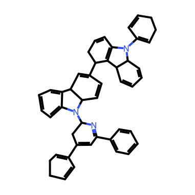 C1=CC2C3=C(C=CCC3C3=CC4c5ccccc5N(C5CC(C6=CCCC=C6)=CC(c6ccccc6)=N5)C4C=C3)N(C3=CCCC=C3)C2C=C1